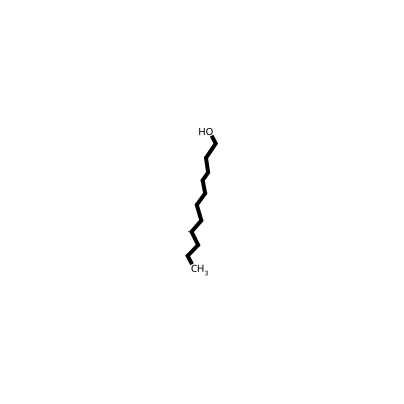 CCC[CH]CCCCCCCO